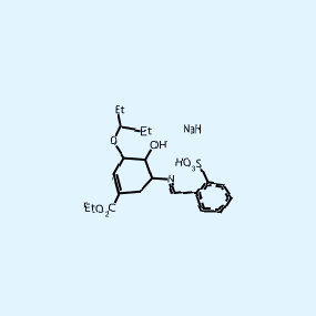 CCOC(=O)C1=CC(OC(CC)CC)C(O)C(N=Cc2ccccc2S(=O)(=O)O)C1.[NaH]